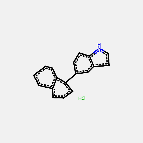 Cl.c1ccc2c(-c3ccc4[nH]ccc4c3)cccc2c1